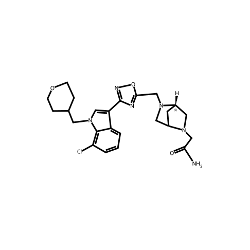 NC(=O)CN1C[C@@H]2CC1CN2Cc1nc(-c2cn(CC3CCOCC3)c3c(Cl)cccc23)no1